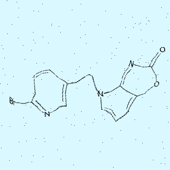 O=c1nc2n(Cc3ccc(Br)nc3)cccc-2o1